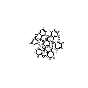 S=P12c3ccccc3Oc3cccc(c31)Oc1c2c2c(c3c1P1(=S)c4ccccc4Oc4cccc(c41)O3)P1(=S)c3ccccc3Oc3cccc(c31)O2